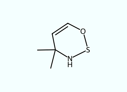 CC1(C)C=COSN1